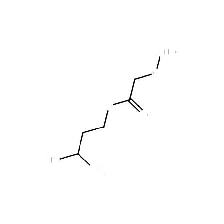 CCCC(CCOC(=O)CO[C]=O)C(=O)O